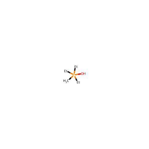 CCP(C)(O)(CC)CC